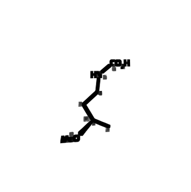 CO[C@H](C)CCNC(=O)O